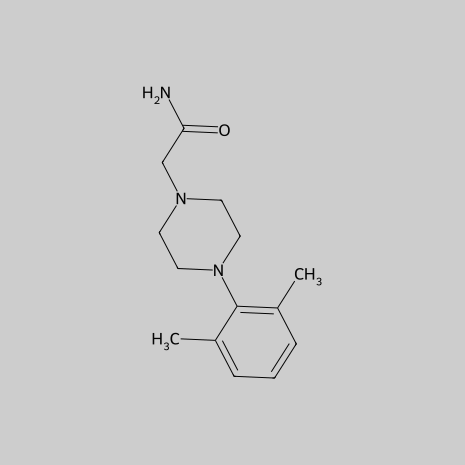 Cc1cccc(C)c1N1CCN(CC(N)=O)CC1